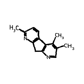 Cc1ccc2c(n1)Cc1ncc(C)c(C)c1-2